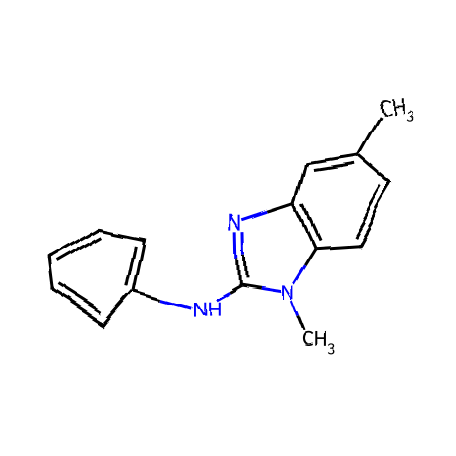 Cc1ccc2c(c1)nc(Nc1ccccc1)n2C